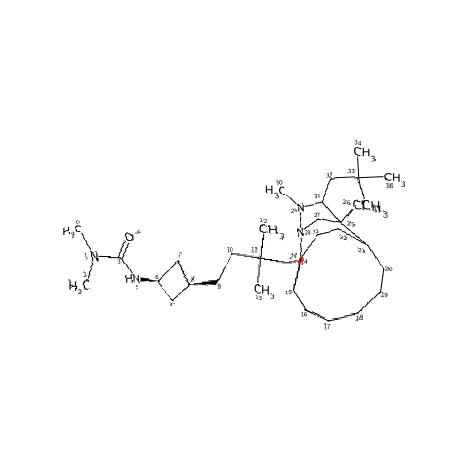 CN(C)C(=O)N[C@H]1C[C@@H](CCC(C)(C)C2C3CCCCCC(CCC3)C3(Cl)CN2N(C)C3CC(C)(C)C)C1